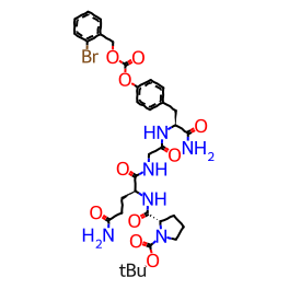 CC(C)(C)OC(=O)N1CCC[C@H]1C(=O)N[C@@H](CCC(N)=O)C(=O)NCC(=O)N[C@@H](Cc1ccc(OC(=O)OCc2ccccc2Br)cc1)C(N)=O